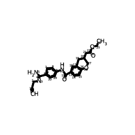 C#CCN=C(N)c1ccc(NC(=O)c2ccc3c(c2)CC(CC(=O)OCC)CO3)cc1